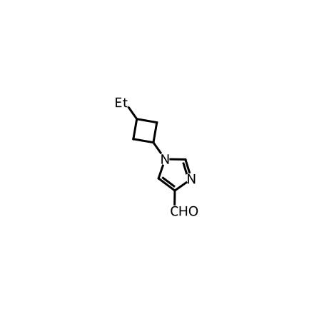 CCC1CC(n2cnc(C=O)c2)C1